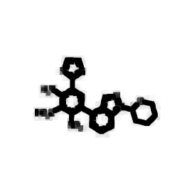 Nc1c(-c2nccs2)cc(-c2cccc3c2cnn3C2CCCCO2)c([N+](=O)[O-])c1C(=O)O